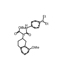 CCN(CC)c1ccc(NC(=O)N(C(=O)OCC(C)C)C2CCc3cccc(OC)c3C2)cc1